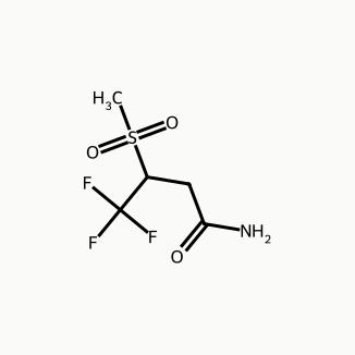 CS(=O)(=O)C(CC(N)=O)C(F)(F)F